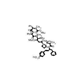 CCC(C)C(C(CC(=O)N1CCC[C@H]1C(OC)C(C)C(=O)NC(/C=C/c1ccc(S(=O)(=O)O)cc1)Cc1ccccc1)OC)N(C)C(=O)C(NC(=O)C(C(C)C)N(C)C(=O)OC(C)(C)C)C(C)C